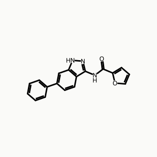 O=C(Nc1n[nH]c2cc(-c3ccccc3)ccc12)c1ccco1